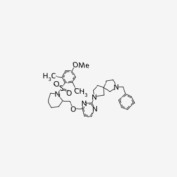 COc1cc(C)c(S(=O)(=O)N2CCCCC2COc2ccnc(N3CCC4(CCN(Cc5ccccc5)C4)C3)n2)c(C)c1